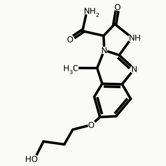 CC1c2cc(OCCCO)ccc2N=C2NC(=O)C(C(N)=O)N21